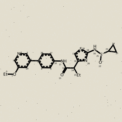 CCOc1cncc(-c2ccc(NC(=O)C(CC)c3csc(N[S+]([O-])C4CC4)n3)cc2)c1